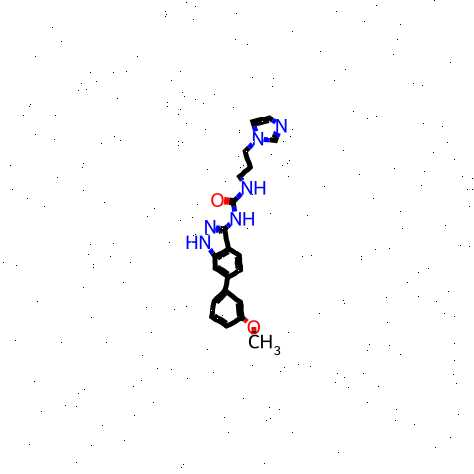 COc1cccc(-c2ccc3c(NC(=O)NCCCn4ccnc4)n[nH]c3c2)c1